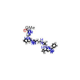 COC(=O)c1cn(CC(C)NCC(Cc2ccccc2)n2cc(CCCNCC(C)(C)CNc3nn4c(-c5ccccc5)nnc4cc3C3CCC3)nn2)nn1